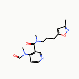 Cc1cc(CCCN(C)C(=O)c2cnccc2N(C)C=O)on1